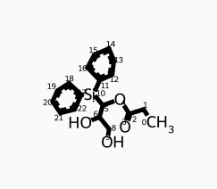 CCC(=O)OC(C(O)CO)[Si](c1ccccc1)c1ccccc1